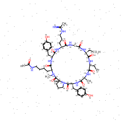 CCCC(=O)NCCCC[C@H]1C(=O)N[C@@H](Cc2ccc(O)cc2)C(=O)N[C@@H](CCCNC(C)=N)C(=O)NCC(=O)N[C@@H](CC(=O)O)C(=O)N[C@@H](CC(C)C)C(=O)N[C@@H](C)C(=O)N[C@@H](Cc2ccc(O)cc2)C(=O)N2CCC[C@@H]2C(=O)N1C